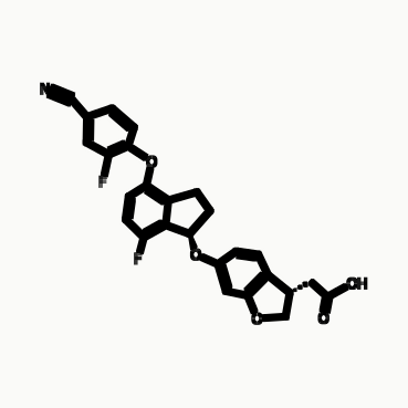 N#Cc1ccc(Oc2ccc(F)c3c2CC[C@H]3Oc2ccc3c(c2)OC[C@H]3CC(=O)O)c(F)c1